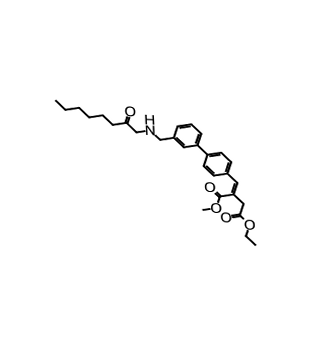 CCCCCCC(=O)CNCc1cccc(-c2ccc(C=C(CC(=O)OCC)C(=O)OC)cc2)c1